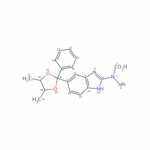 CCCN(C(=O)O)c1nc2cc(C3(c4ccccc4)OC(C)C(C)O3)ccc2[nH]1